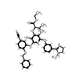 CCOC(=O)C(Oc1c(F)c(Oc2cccc(C3=NCCN3C)c2)nc(Oc2cc(C#N)ccc2OCc2ccccc2)c1F)C(C)C